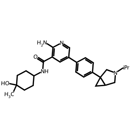 CC(C)N1CC2CC2(c2ccc(-c3cnc(N)c(C(=O)NC4CCC(C)(O)CC4)c3)cc2)C1